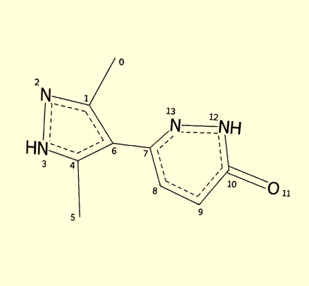 Cc1n[nH]c(C)c1-c1ccc(=O)[nH]n1